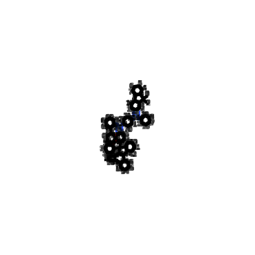 CC1(C)c2ccccc2-c2ccc(N(c3ccccc3)c3ccc(N(c4ccc5c(c4)-c4ccccc4C54c5ccccc5-c5c4c4ccccc4c4ccccc54)c4ccccc4-c4ccccc4)cc3)cc21